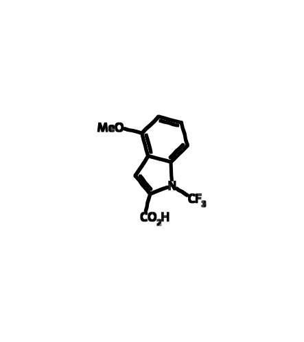 COc1cccc2c1cc(C(=O)O)n2C(F)(F)F